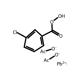 CC(=O)[O-].CC(=O)[O-].O=C(OO)c1cccc(Cl)c1.[Pb+2]